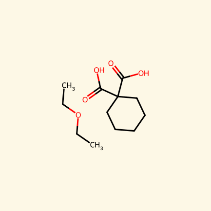 CCOCC.O=C(O)C1(C(=O)O)CCCCC1